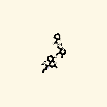 C=C/C=C(/c1cc(C)nc2c(OCc3c(C)ccnc3CNC(=O)C3CCCCC3)cccc12)N(C)C